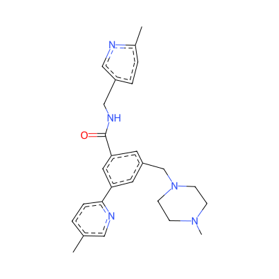 Cc1ccc(-c2cc(CN3CCN(C)CC3)cc(C(=O)NCc3ccc(C)nc3)c2)nc1